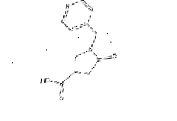 O=C(O)C1CC(=O)N(Cc2ccncc2)C1